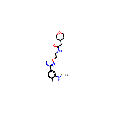 C=N/C(=N\OCCNC(=O)CC1CCOCC1)c1ccc(C)c(NC=O)c1